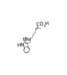 C/C(=C\CCCCCc1c(C(C)(C)C)[nH]c2ccccc12)C(=O)O